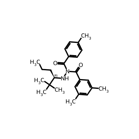 CCC[C@@H](NN(C(=O)c1ccc(C)cc1)C(=O)c1cc(C)cc(C)c1)C(C)(C)C